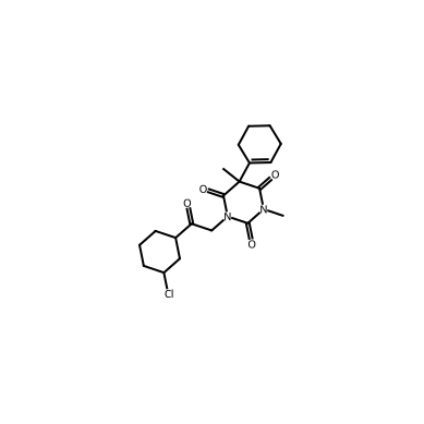 CN1C(=O)N(CC(=O)C2CCCC(Cl)C2)C(=O)C(C)(C2=CCCCC2)C1=O